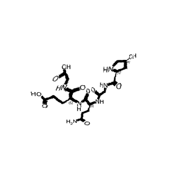 NC(=O)CC[C@H](NC(=O)CNC(=O)[C@@H]1C[C@@H](O)CN1)C(=O)N[C@@H](CCC(=O)O)C(=O)NCC(=O)O